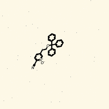 N#Cc1ccc(CCOC(c2ccccc2)(c2ccccc2)c2ccccc2)c[n+]1[O-]